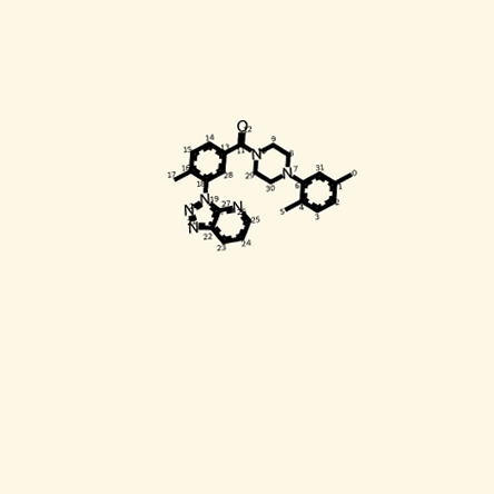 Cc1ccc(C)c(N2CCN(C(=O)c3ccc(C)c(-n4nnc5cccnc54)c3)CC2)c1